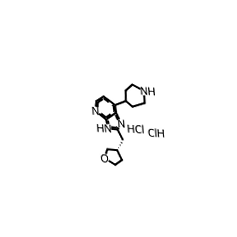 Cl.Cl.c1cc(C2CCNCC2)c2nc(C[C@@H]3CCOC3)[nH]c2n1